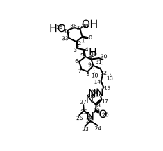 C=C1/C(=C\C=C2CCC[C@]3(C)[C@@H]([C@H](C)CCn4cc(C(=O)N(C(C)C)C(C)C)nn4)CC[C@@H]23)C[C@H](O)C[C@H]1O